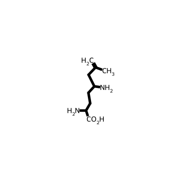 C=C(C)CC(N)CCC(N)C(=O)O